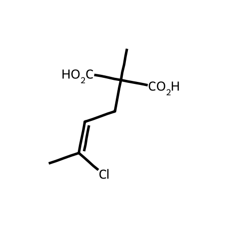 CC(Cl)=CCC(C)(C(=O)O)C(=O)O